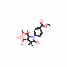 CCOC(=O)c1ccc(N2C(=O)C(C)(C)C(C(=O)O)=C2C(=O)OC)cc1